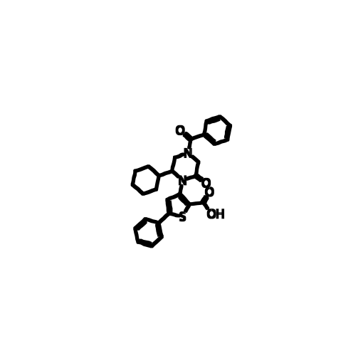 O=C(O)c1sc(-c2ccccc2)cc1N1C(=O)CN(C(=O)c2ccccc2)CC1C1CCCCC1